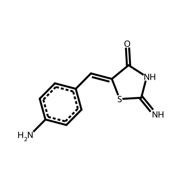 N=C1NC(=O)C(=Cc2ccc(N)cc2)S1